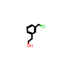 OCCc1cccc(CCl)c1